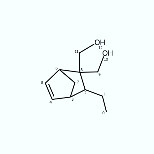 CCC1C2C=CC(C2)C1(CO)CO